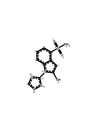 CCCc1cc2c(S(N)(=O)=O)cccc2n1-c1nnco1